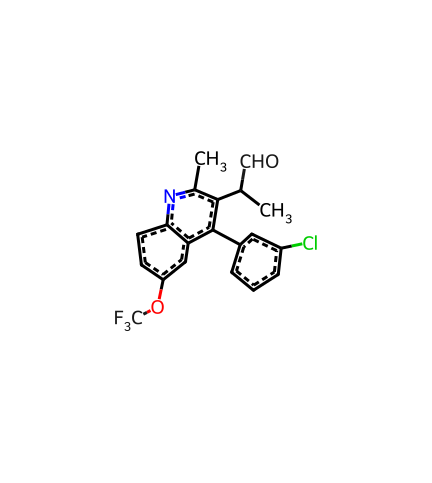 Cc1nc2ccc(OC(F)(F)F)cc2c(-c2cccc(Cl)c2)c1C(C)C=O